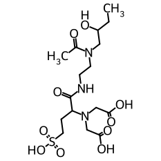 CCC(O)CN(CCNC(=O)C(CCS(=O)(=O)O)N(CC(=O)O)CC(=O)O)C(C)=O